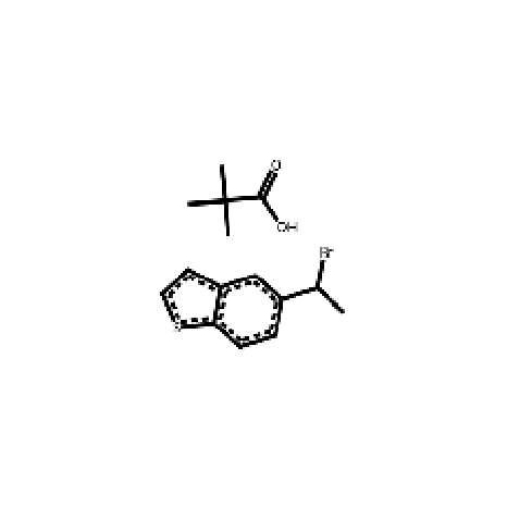 CC(Br)c1ccc2sccc2c1.CC(C)(C)C(=O)O